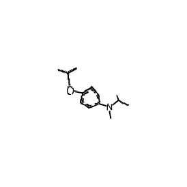 CC(C)Oc1ccc(N(C)C(C)C)cc1